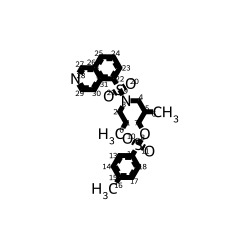 CCCN(CC(C)COS(=O)(=O)c1ccc(C)cc1)S(=O)(=O)c1cccc2cnccc12